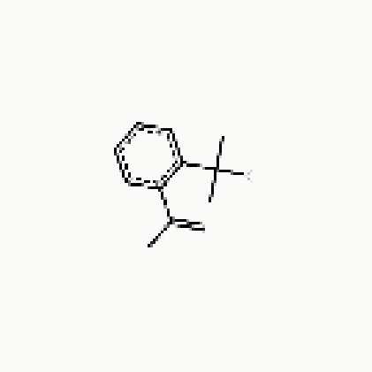 C=C(C)c1ccccc1C(C)(C)Cl